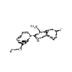 CC(C)Oc1cncc(-c2nc3ccc(F)cc3n2C)c1